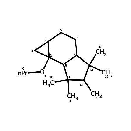 CCCOC12CC1CCC1C2C(C)(C)C(C)C1(C)C